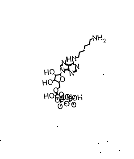 NCCCCCCNc1ncnc2c1ncn2C1OC(COP(=O)(O)OP(=O)(O)OP(=O)(O)O)C(O)C1O